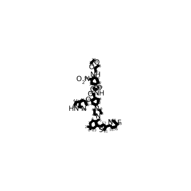 CC1(C)CCC(CN2CCN(c3ccc(C(=O)NS(=O)(=O)c4ccc(NCC5COCCO5)c([N+](=O)[O-])c4)c(Oc4cnc5[nH]ccc5c4)c3)CC2)=C(c2cc(-c3ccc(F)cn3)cs2)C1